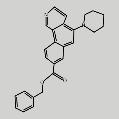 O=C(OCc1ccccc1)c1ccc2c(c1)cc(N1CCCCC1)c1ccncc12